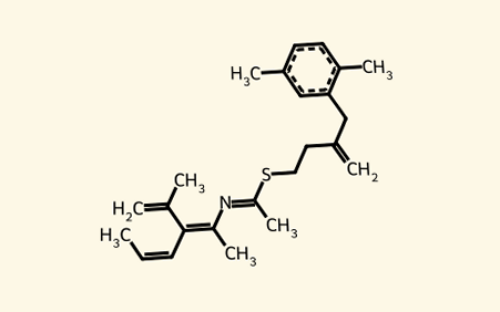 C=C(CCS/C(C)=N/C(C)=C(/C=C\C)C(=C)C)Cc1cc(C)ccc1C